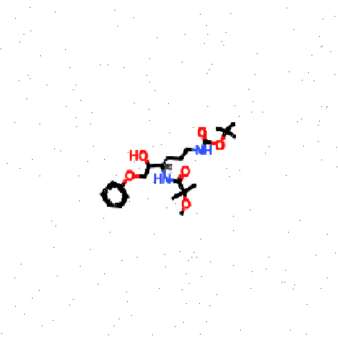 COC(C)(C)C(=O)N[C@@H](CCCNC(=O)OC(C)(C)C)C(O)COc1ccccc1